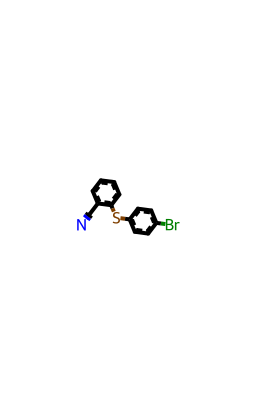 N#Cc1ccccc1Sc1ccc(Br)cc1